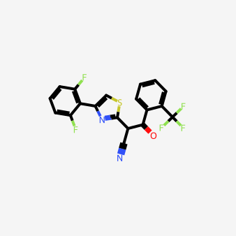 N#CC(C(=O)c1ccccc1C(F)(F)F)c1nc(-c2c(F)cccc2F)cs1